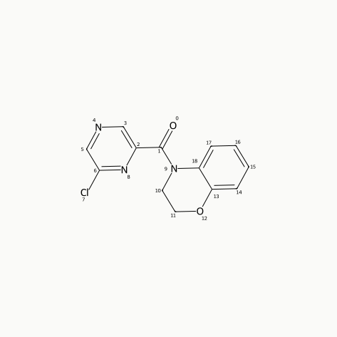 O=C(c1cncc(Cl)n1)N1CCOc2ccccc21